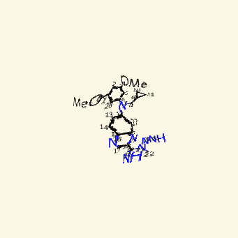 COc1cc(OC)cc(N(CC2CC2)c2ccc3ncc(C(=N)N(C)N=N)nc3c2)c1